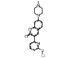 CCOc1cccc(-c2cc3ccc(N4CCN(C)CC4)cc3oc2=O)n1